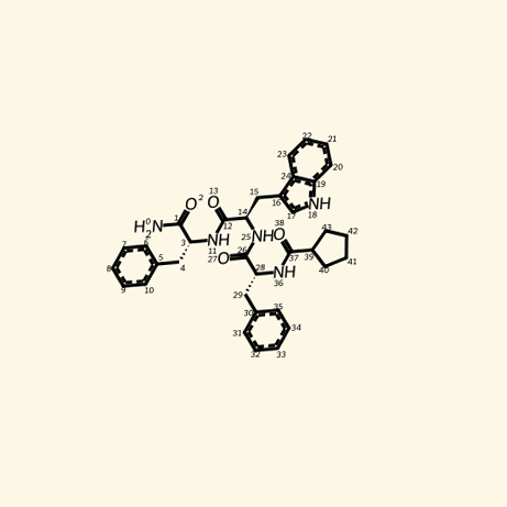 NC(=O)[C@@H](Cc1ccccc1)NC(=O)[C@@H](Cc1c[nH]c2ccccc12)NC(=O)[C@@H](Cc1ccccc1)NC(=O)C1CCCC1